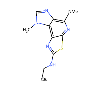 CNc1nc2sc(NCC(C)(C)C)nc2c2c1ncn2C